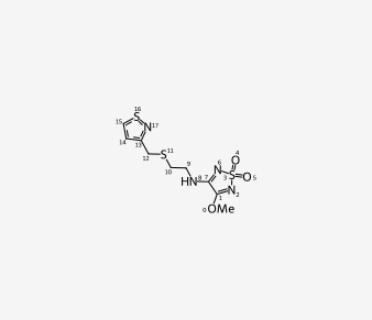 COC1=NS(=O)(=O)N=C1NCCSCc1ccsn1